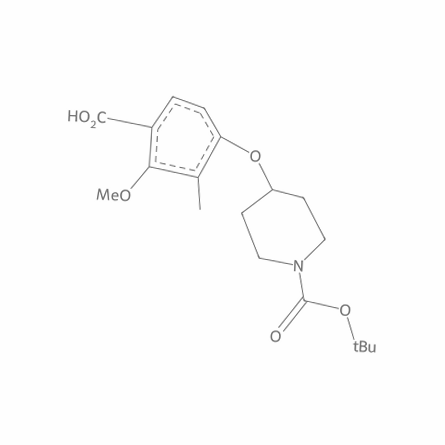 COc1c(C(=O)O)ccc(OC2CCN(C(=O)OC(C)(C)C)CC2)c1C